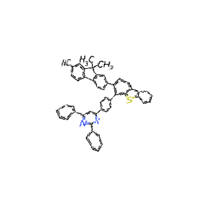 CC1(C)c2cc(C#N)ccc2-c2ccc(-c3ccc4c(sc5ccccc54)c3-c3ccc(-c4cc(-c5ccccc5)nc(-c5ccccc5)n4)cc3)cc21